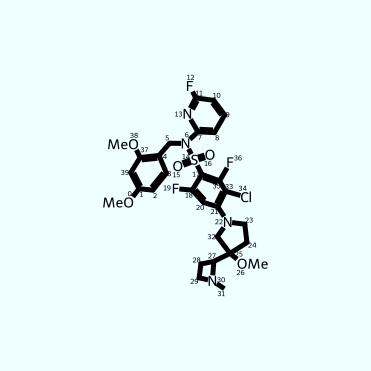 COc1ccc(CN(c2cccc(F)n2)S(=O)(=O)c2c(F)cc(N3CCC(OC)(C4CCN4C)C3)c(Cl)c2F)c(OC)c1